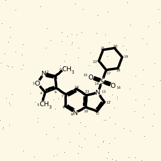 Cc1noc(C)c1-c1cnc2ccn(S(=O)(=O)C3CCCCC3)c2c1